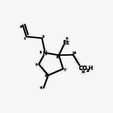 C=CCN1CC(C)CC1(CC)CC(=O)O